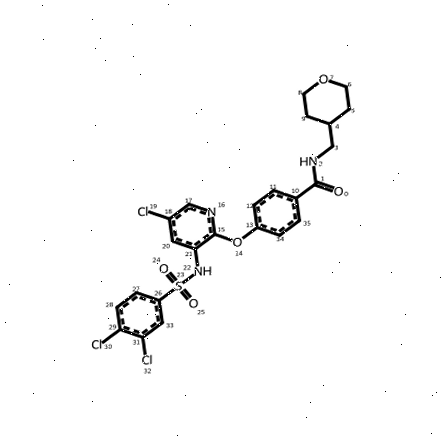 O=C(NCC1CCOCC1)c1ccc(Oc2ncc(Cl)cc2NS(=O)(=O)c2ccc(Cl)c(Cl)c2)cc1